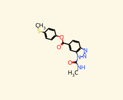 CNC(=O)n1nnc2ccc(C(=O)Oc3ccc(SC)cc3)cc21